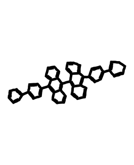 C1=CC(c2ccc(-c3c4ccccc4c(-c4c5ccccc5c(-c5ccc(-c6ccccc6)cc5)c5ccccc45)c4ccccc34)cc2)=CCC1